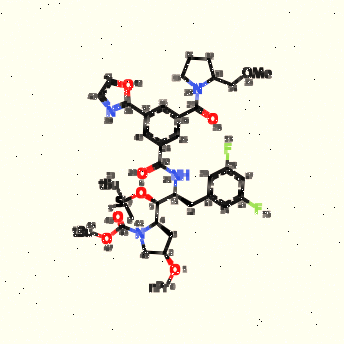 CCCO[C@@H]1C[C@H]([C@@H](O[Si](C)(C)C(C)(C)C)[C@H](Cc2cc(F)cc(F)c2)NC(=O)c2cc(C(=O)N3CCCC3COC)cc(-c3ncco3)c2)N(C(=O)OC(C)(C)C)C1